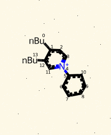 CCCCc1cc[n+](-c2ccccc2)cc1CCCC